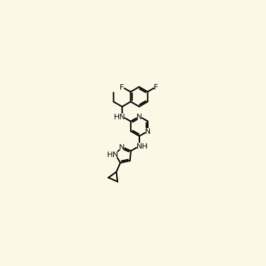 CCC(Nc1cc(Nc2cc(C3CC3)[nH]n2)ncn1)c1ccc(F)cc1F